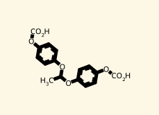 CC(Oc1ccc(OC(=O)O)cc1)Oc1ccc(OC(=O)O)cc1